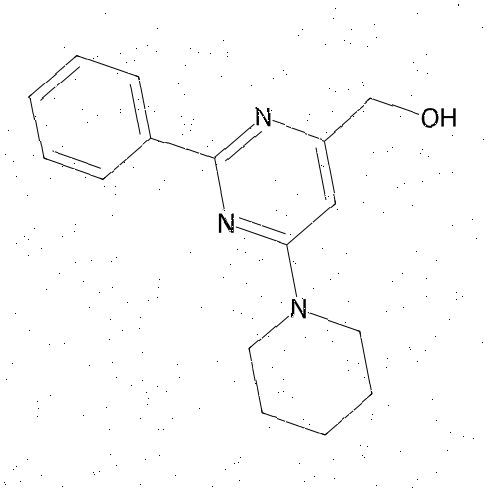 OCc1cc(N2CCCCC2)nc(-c2ccccc2)n1